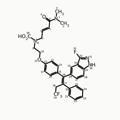 CN(C)C(=O)C=CCN(CCOc1ccc(C(=C(CC(F)(F)F)c2ccccc2)c2ccc3[nH]nc(F)c3c2)cc1)C(=O)O